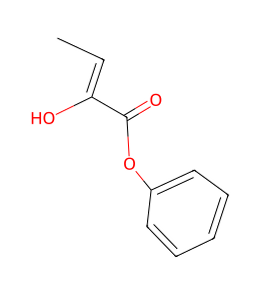 CC=C(O)C(=O)Oc1ccccc1